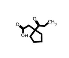 CCC(=O)C1(CC(=O)O)CCCC1